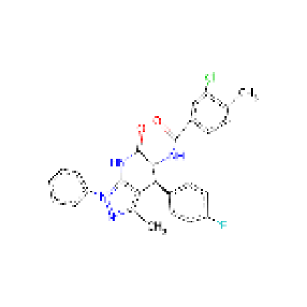 Cc1ccc(C(=O)NC2C(=O)Nc3c(c(C)nn3-c3ccccc3)[C@@H]2c2ccc(F)cc2)cc1Cl